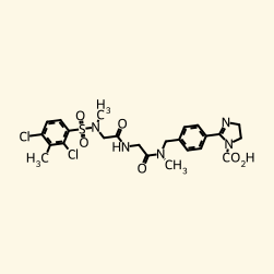 Cc1c(Cl)ccc(S(=O)(=O)N(C)CC(=O)NCC(=O)N(C)Cc2ccc(C3=NCCN3C(=O)O)cc2)c1Cl